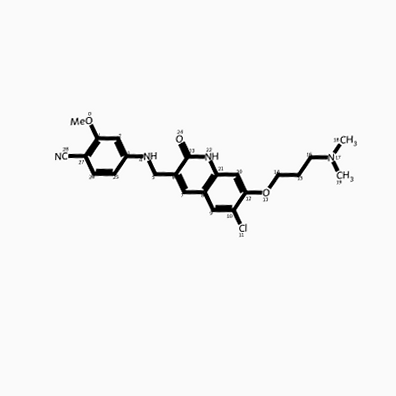 COc1cc(NCc2cc3cc(Cl)c(OCCCN(C)C)cc3[nH]c2=O)ccc1C#N